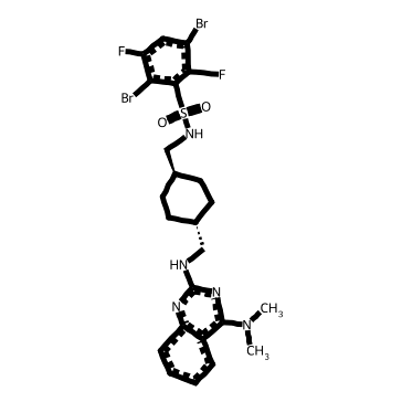 CN(C)c1nc(NC[C@H]2CC[C@H](CNS(=O)(=O)c3c(F)c(Br)cc(F)c3Br)CC2)nc2ccccc12